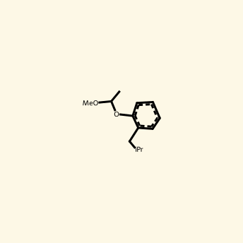 COC(C)Oc1ccccc1CC(C)C